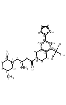 C[C@@H]1CCC(=O)N(C[C@H](N)CC(=O)N2CCc3c(nc(-c4cccs4)nc3C(F)(F)F)C2)C1